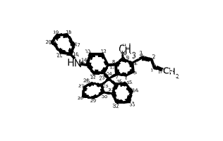 C=C/C=C\c1ccc2c(c1C)-c1ccc(Nc3ccccc3)cc1C21c2ccccc2-c2ccccc21